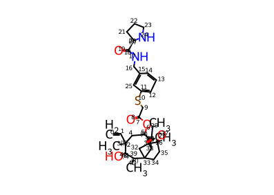 C=C[C@]1(C)C[C@@H](OC(=O)CSc2cccc(CNC(=O)[C@H]3CCCN3)c2)[C@]2(C)C(C)CC34CC(CCC3=O)(C42)[C@@H](C)[C@@H]1O